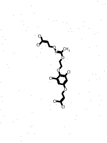 CC(=NOCC=C(Cl)Cl)OCCOc1c(Cl)cc(OCC=C(Cl)Cl)cc1Cl